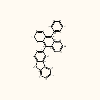 C1=Cc2c(c(-c3ccc4oc5ccccc5c4c3)c3ccccc3c2-c2ccccc2)CC1